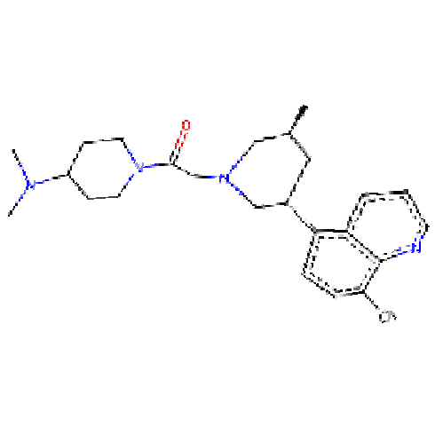 C[C@H]1C[C@H](c2ccc(C#N)c3ncccc23)CN(CC(=O)N2CCC(N(C)C)CC2)C1